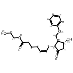 O=C(CCC/C=C\C[C@H]1C(=O)C[C@@H](O)[C@@H]1COc1ccccc1)OCCO